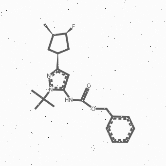 C[C@@H]1C[C@H](c2cc(NC(=O)OCc3ccccc3)n(C(C)(C)C)n2)C[C@@H]1F